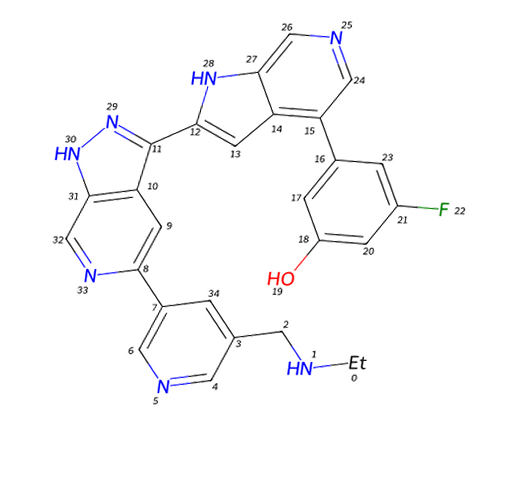 CCNCc1cncc(-c2cc3c(-c4cc5c(-c6cc(O)cc(F)c6)cncc5[nH]4)n[nH]c3cn2)c1